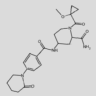 COC1(C(=O)N2CCC(NC(=O)c3ccc(N4CCCCC4=O)cc3)[CH]C2C(N)=O)CC1